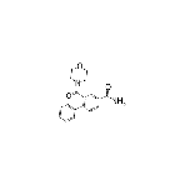 NC(=O)c1ccc(-c2ccccc2)c(C(=O)N2CCOCC2)c1